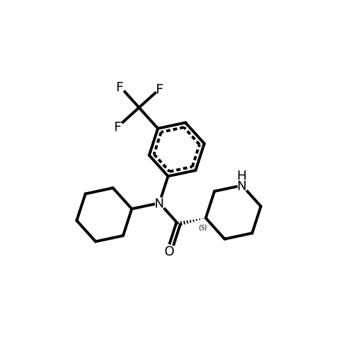 O=C([C@H]1CCCNC1)N(c1cccc(C(F)(F)F)c1)C1CCCCC1